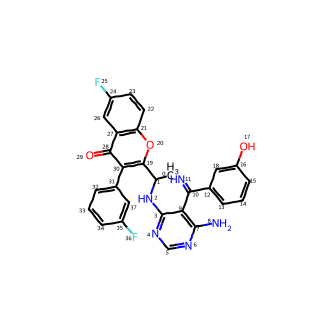 CC(Nc1ncnc(N)c1C(=N)c1cccc(O)c1)c1oc2ccc(F)cc2c(=O)c1-c1cccc(F)c1